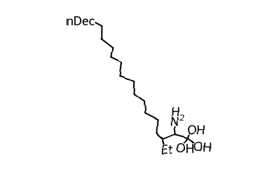 CCCCCCCCCCCCCCCCCCCCCCC(CC)C(N)C(O)(O)O